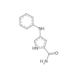 NC(=O)c1cc(Nc2ccccc2)c[nH]1